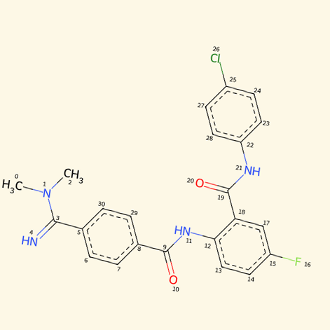 CN(C)C(=N)c1ccc(C(=O)Nc2ccc(F)cc2C(=O)Nc2ccc(Cl)cc2)cc1